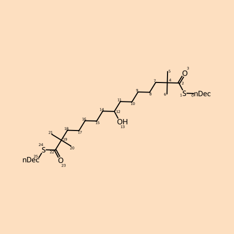 CCCCCCCCCCSC(=O)C(C)(C)CCCCCC(O)CCCCCC(C)(C)C(=O)SCCCCCCCCCC